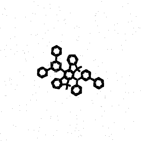 CC1(C)c2ccccc2-c2c(-c3nc(-c4ccccc4)nc(-c4ccccc4)n3)c3c(c(N(c4ccccc4)c4cccc(-c5ccccc5)c4)c21)C(C)(C)c1ccccc1-3